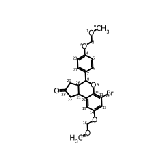 COCOc1ccc(C2Oc3c(Br)cc(OCOC)cc3C3CC(=O)CC32)cc1